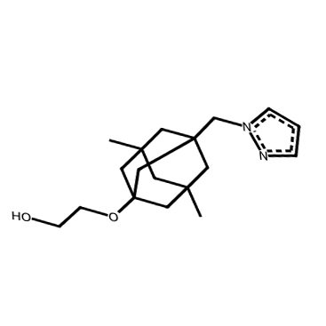 CC12CC3(C)CC(Cn4cccn4)(C1)CC(OCCO)(C2)C3